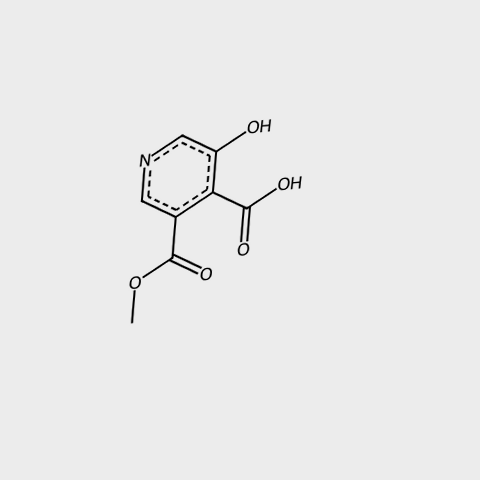 COC(=O)c1cncc(O)c1C(=O)O